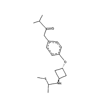 CSC(C)N[C@H]1C[C@H](Oc2ccc(CC(=O)C(C)C)cc2)C1